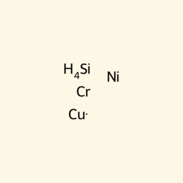 [Cr].[Cu].[Ni].[SiH4]